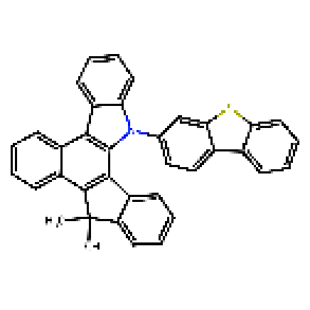 CC1(C)c2ccccc2-c2c1c1ccccc1c1c3ccccc3n(-c3ccc4c(c3)sc3ccccc34)c21